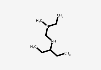 CCC(CC)NCN(C)CC